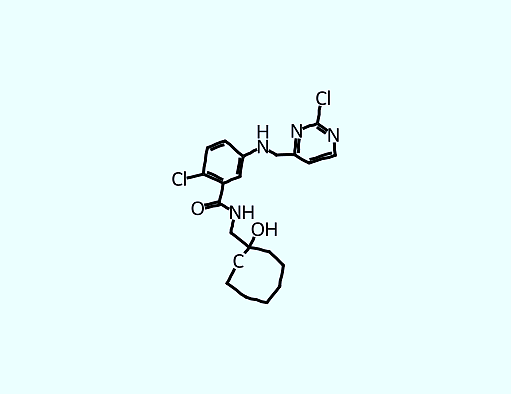 O=C(NCC1(O)CCCCCCC1)c1cc(NCc2ccnc(Cl)n2)ccc1Cl